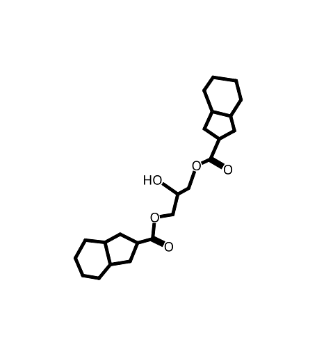 O=C(OCC(O)COC(=O)C1CC2CCCCC2C1)C1CC2CCCCC2C1